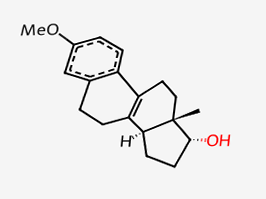 COc1ccc2c(c1)CCC1=C2CC[C@]2(C)[C@H](O)CC[C@@H]12